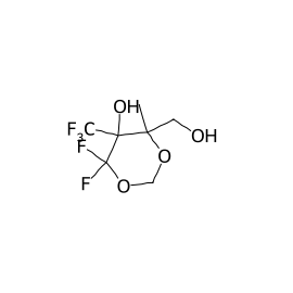 CC1(CO)OCOC(F)(F)C1(O)C(F)(F)F